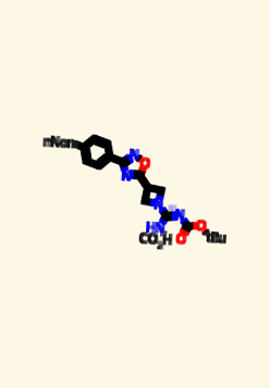 CCCCCCCCCc1ccc(-c2noc(C3CN(/C(=N/C(=O)OC(C)(C)C)NC(=O)O)C3)n2)cc1